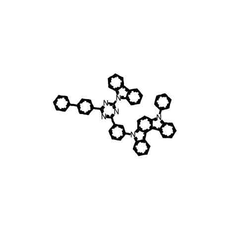 c1ccc(-c2ccc(-c3nc(-c4cccc(-n5c6ccccc6c6c7c8ccccc8n(-c8ccccc8)c7ccc65)c4)nc(-n4c5ccccc5c5ccccc54)n3)cc2)cc1